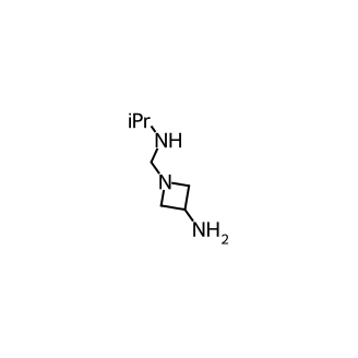 CC(C)NCN1CC(N)C1